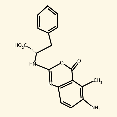 Cc1c(N)ccc2nc(N[C@@H](Cc3ccccc3)C(=O)O)oc(=O)c12